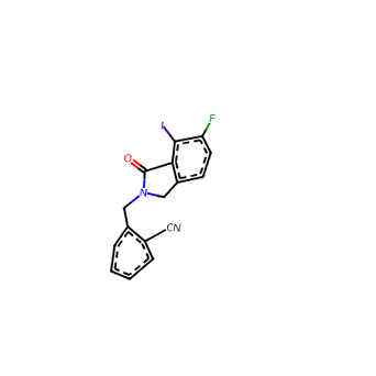 N#Cc1ccccc1CN1Cc2ccc(F)c(I)c2C1=O